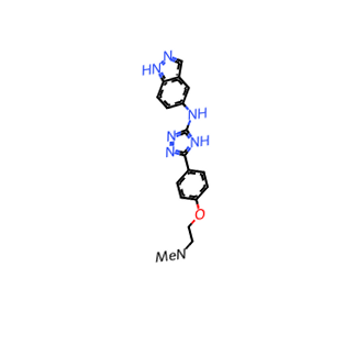 CNCCOc1ccc(-c2nnc(Nc3ccc4[nH]ncc4c3)[nH]2)cc1